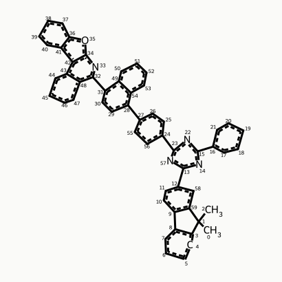 CC1(C)c2ccccc2-c2ccc(-c3nc(-c4ccccc4)nc(-c4ccc(-c5ccc(-c6nc7oc8ccccc8c7c7ccccc67)c6ccccc56)cc4)n3)cc21